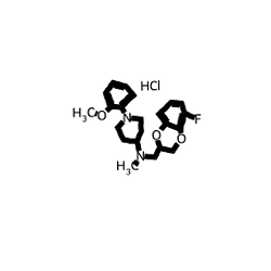 COc1ccccc1N1CCC(N(C)CC2COc3c(F)cccc3O2)CC1.Cl